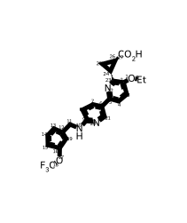 CCOc1ccc(-c2ccc(NCc3cccc(OC(F)(F)F)c3)nc2)nc1[C@@H]1C[C@H]1C(=O)O